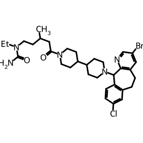 CCN(CCC(C)CC(=O)N1CCC(C2CCN(C3c4ccc(Cl)cc4CCc4cc(Br)cnc43)CC2)CC1)C(N)=O